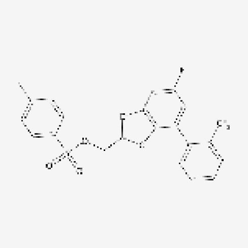 Cc1ccc(S(=O)(=O)OCC2Oc3cc(F)cc(-c4ccccc4C(F)(F)F)c3O2)cc1